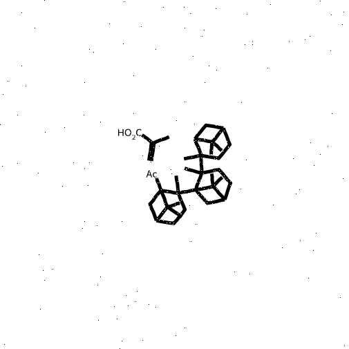 C=C(C)C(=O)O.CC(=O)C12CC(CCC1(C)C13CC(CCC1(C)C1(C)CCC4CC1C4(C)C)C3(C)C)C2(C)C